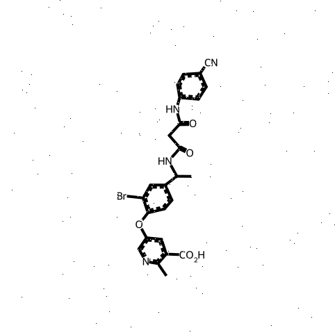 Cc1ncc(Oc2ccc(C(C)NC(=O)CC(=O)Nc3ccc(C#N)cc3)cc2Br)cc1C(=O)O